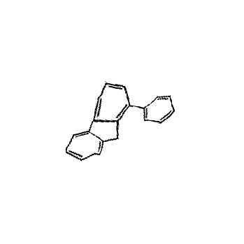 [c]1cc(-c2ccccc2)c2c(c1)-c1ccccc1C2